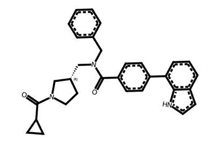 O=C(c1ccc(-c2cccc3cc[nH]c23)cc1)N(Cc1ccccc1)C[C@@H]1CCN(C(=O)C2CC2)C1